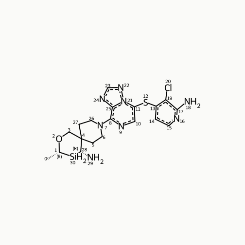 C[C@@H]1OCC2(CCN(c3ncc(Sc4ccnc(N)c4Cl)n4ncnc34)CC2)[C@H](N)[SiH2]1